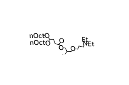 [CH2]C(COCCCN(CC)CC)COC(=O)CCC(OCCCCCCCC)OCCCCCCCC